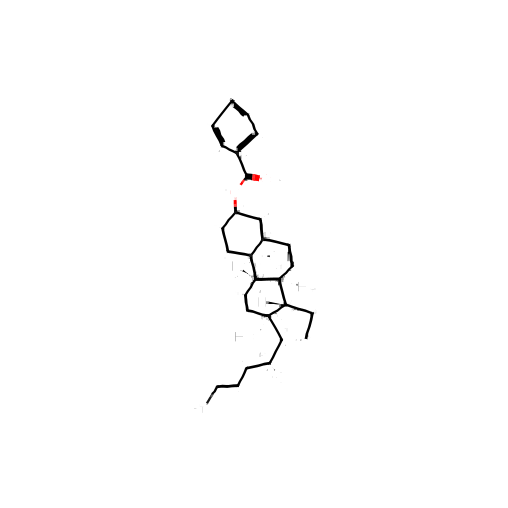 CC(C)CCC[C@@H](C)[C@H]1CC[C@H]2[C@@H]3CCC4CC(OC(=O)c5ccccc5)CC[C@]4(C)[C@H]3CC[C@]12C